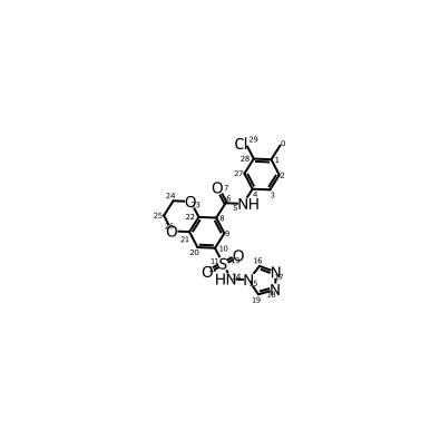 Cc1ccc(NC(=O)c2cc(S(=O)(=O)Nn3cnnc3)cc3c2OCCO3)cc1Cl